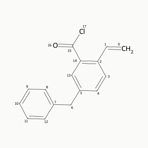 C=Cc1ccc(Cc2ccccc2)cc1C(=O)Cl